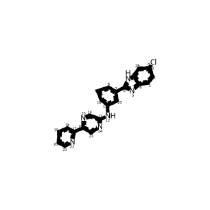 Clc1ccc2nc(-c3cccc(Nc4cnc(-c5ccccn5)cn4)c3)[nH]c2c1